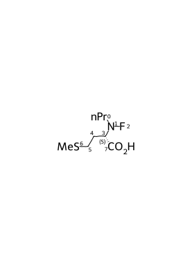 CCCN(F)[C@@H](CCSC)C(=O)O